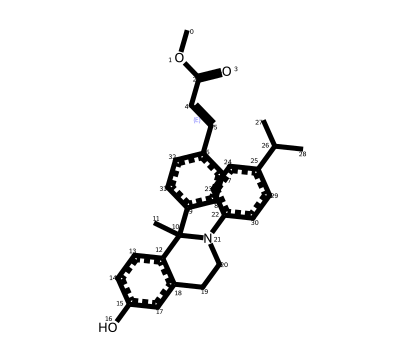 COC(=O)/C=C/c1ccc(C2(C)c3ccc(O)cc3CCN2c2ccc(C(C)C)cc2)cc1